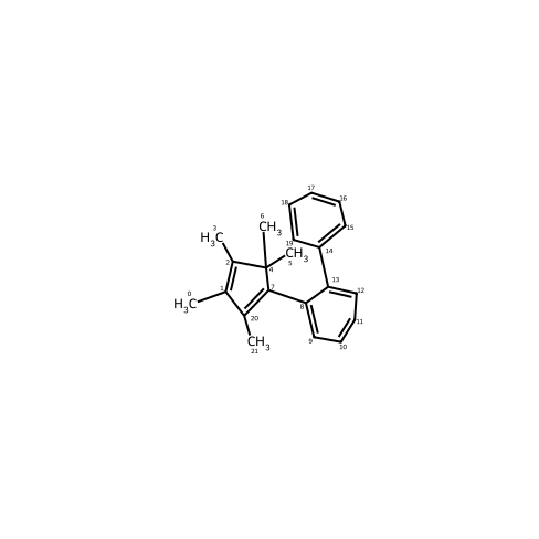 CC1=C(C)C(C)(C)C(c2ccccc2-c2ccccc2)=C1C